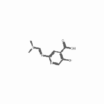 CN(C)C=Nc1cc(C(=O)O)c(Br)cn1